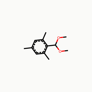 COC(OC)c1c(C)cc(C)cc1C